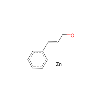 O=C/C=C/c1ccccc1.[Zn]